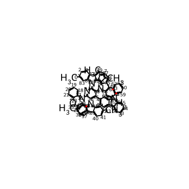 Cc1ccc2c3ccc(C)cc3n(-c3nc(N4c5ccccc5Oc5ccccc54)c(-n4c5cc(C)ccc5c5ccc(C)cc54)c(-c4ccc5c6ccccc6n(-c6ccccc6)c5c4)c3-n3c4cc(C)ccc4c4ccc(C)cc43)c2c1